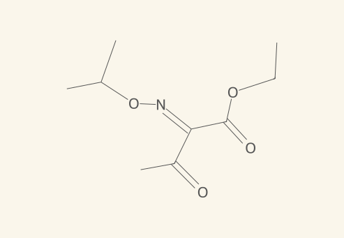 CCOC(=O)C(=NOC(C)C)C(C)=O